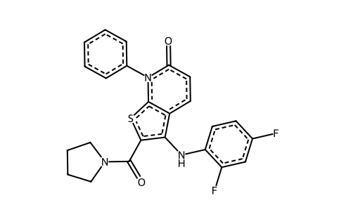 O=C(c1sc2c(ccc(=O)n2-c2ccccc2)c1Nc1ccc(F)cc1F)N1CCCC1